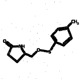 Cc1ccc(SOCC2CCC(=O)N2)cc1